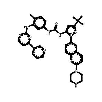 Cc1ccc(NC(=O)Nc2cc(C(C)(C)C)nn2-c2ccc3nc(N4CCNCC4)ccc3c2)cc1Nc1nccc(-c2cccnc2)n1